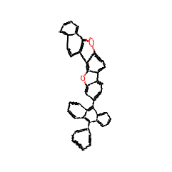 c1ccc(-c2c3ccccc3c(-c3ccc4c(c3)oc3c4ccc4oc5c6ccccc6ccc5c43)c3ccccc23)cc1